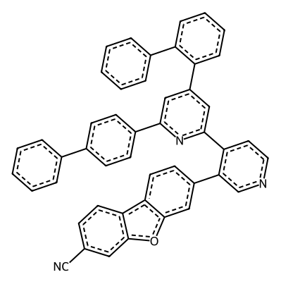 N#Cc1ccc2c(c1)oc1cc(-c3cnccc3-c3cc(-c4ccccc4-c4ccccc4)cc(-c4ccc(-c5ccccc5)cc4)n3)ccc12